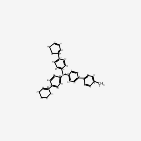 Cc1ccc(-c2ccc(N(c3ccc(C4=CC=CCC4)cc3)c3ccc(C4=CCCCC4)cc3)cc2)cc1